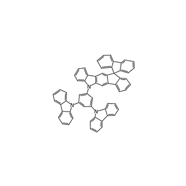 c1ccc2c(c1)-c1ccccc1C21c2ccccc2-c2cc3c(cc21)c1ccccc1n3-c1cc(-n2c3ccccc3c3ccccc32)cc(-n2c3ccccc3c3ccccc32)c1